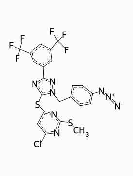 CSc1nc(Cl)cc(Sc2nc(-c3cc(C(F)(F)F)cc(C(F)(F)F)c3)nn2Cc2ccc(N=[N+]=[N-])cc2)n1